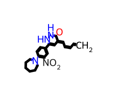 C=C/C=C\C=C1/C=C(c2ccc(N3CCCCCC3)c([N+](=O)[O-])c2)NNC1=O